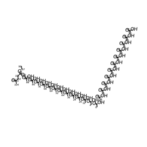 CC(=O)O.CC(=O)O.CC(=O)O.CC(=O)O.CC(=O)O.CC(=O)O.CC(=O)O.CC(=O)O.CC(=O)O.CC(=O)O.CC(=O)O.CC(=O)O.CC(=O)O.CC(=O)O.CC(=O)O.CC(=O)O.CC(=O)O.CC(=O)O.CC(=O)O.CC(=O)O.CC(=O)O.CC(=O)O.CC(=O)O.CC(=O)O.CCOC(=O)CCC(C)=O